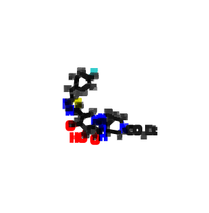 CCOC(=O)N1CCC23NC(=O)c4c(O)c(=O)c(-c5nnc(Cc6ccc(F)cc6)s5)cn4N2C=C3C1